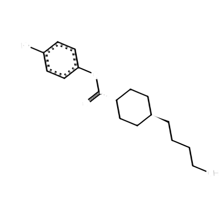 CCCCC[C@H]1CC[C@H](C(=O)Oc2ccc(O)cc2)CC1